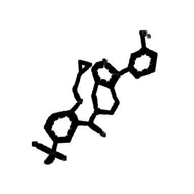 CS(=O)(=O)c1ccc(OCC2CC2)c(C(=O)N2CCc3c(cnn3-c3cccc(C(F)(F)F)c3)C2)c1